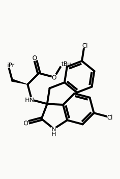 CC(C)C[C@H](NC1(Cc2cccc(Cl)c2)C(=O)Nc2cc(Cl)ccc21)C(=O)OC(C)(C)C